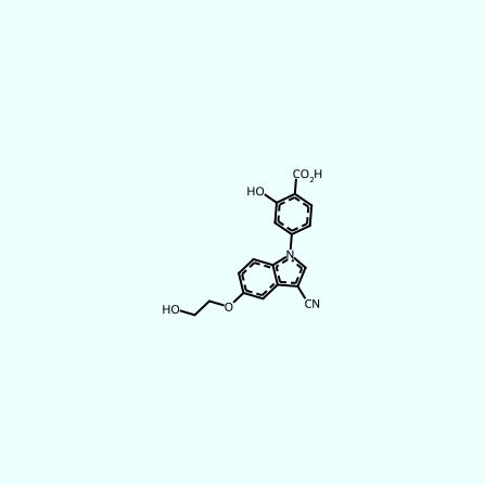 N#Cc1cn(-c2ccc(C(=O)O)c(O)c2)c2ccc(OCCO)cc12